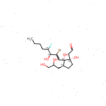 CCCC[C@@H](F)[C@H](O)C(Br)=C[C@]1(O)[C@H](CC(O)CO)CC[C@]1(O)CC=O